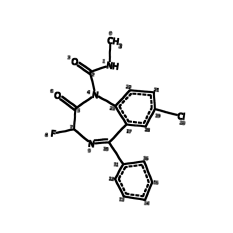 CNC(=O)N1C(=O)C(F)N=C(c2ccccc2)c2cc(Cl)ccc21